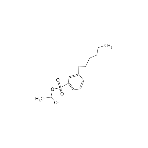 CCCCCCc1cccc(S(=O)(=O)OC(C)[O])c1